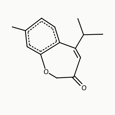 Cc1ccc2c(c1)OCC(=O)C=C2C(C)C